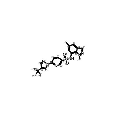 Cc1cc(NS(=O)(=O)c2ccc(-n3cc(C(F)(F)F)cn3)nc2)c2c(cnn2C)c1